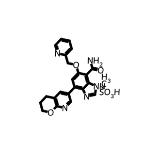 CS(=O)(=O)O.NC(=O)c1c(OCc2ccccn2)cc(-c2cnc3c(c2)CCCO3)c2nc[nH]c12